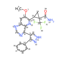 COc1cc2ncnc(-c3c[nH]nc3-c3ccccc3)c2nc1C1CC1(C(N)=O)C(F)(F)F